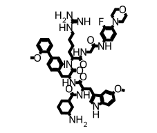 COc1ccc2[nH]cc(CC(NC(=O)C3CCCC(N)C3)C(=O)NC(Cc3ccc(-c4ccccc4OC)cc3)C(=O)NC(CCCCNC(=N)N)C(=O)NCC(=O)Nc3ccc(N4CCOCC4)c(F)c3)c2c1